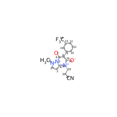 Cn1ccc2n1c(=O)c(-c1cccc(C(F)(F)F)c1)c([O-])[n+]2CCC#N